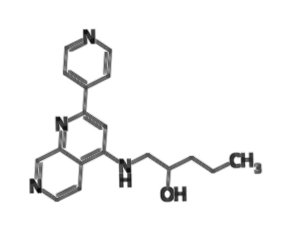 CCCC(O)CNc1cc(-c2ccncc2)nc2cnccc12